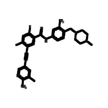 Cc1cc(F)c(C(=O)Nc2ccc(CN3CCN(C)CC3)c(C(F)(F)F)c2)cc1C#Cc1cnc(N)c(C)c1